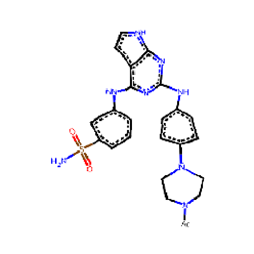 CC(=O)N1CCN(c2ccc(Nc3nc(Nc4cccc(S(N)(=O)=O)c4)c4cc[nH]c4n3)cc2)CC1